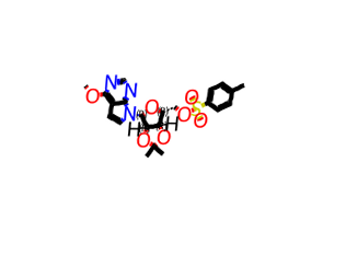 COc1ncnc2c1ccn2[C@@H]1O[C@H](COS(=O)(=O)c2ccc(C)cc2)[C@H]2OC(C)(C)O[C@H]21